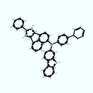 C1=CCC(c2ccc(N(c3ccc4c(c3)sc3ccccc34)c3ccc4c5c(cccc35)-c3nc(-c5ccccc5)sc3-4)cc2)C=C1